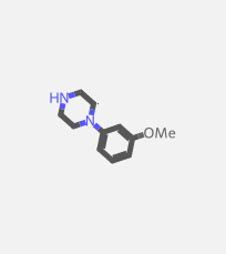 COc1cccc(N2[CH]CNCC2)c1